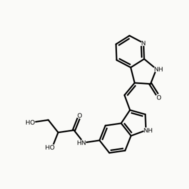 O=C1Nc2ncccc2C1=Cc1c[nH]c2ccc(NC(=O)C(O)CO)cc12